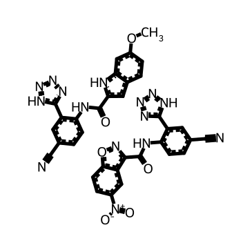 COc1ccc2cc(C(=O)Nc3ccc(C#N)cc3-c3nnn[nH]3)[nH]c2c1.N#Cc1ccc(NC(=O)c2noc3ccc([N+](=O)[O-])cc23)c(-c2nnn[nH]2)c1